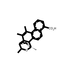 CC1=C(C)c2c(ccc3c(C(=O)O)cccc23)C2C1=C1CCC[C@]2(C)OC1C